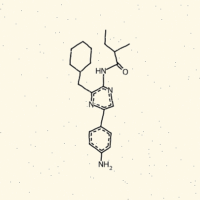 CCC(C)C(=O)Nc1ncc(-c2ccc(N)cc2)nc1CC1CCCCC1